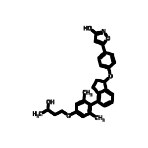 Cc1cc(OCCC(C)O)cc(C)c1-c1cccc2c1CCC2Oc1ccc(-c2cc(O)no2)cc1